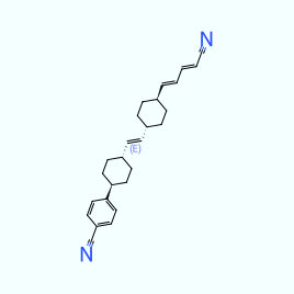 N#CC=CC=C[C@H]1CC[C@H](/C=C/[C@H]2CC[C@H](c3ccc(C#N)cc3)CC2)CC1